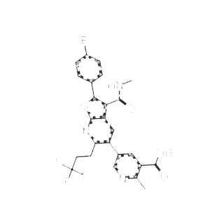 CNC(=O)c1c(-c2ccc(F)cc2)oc2nc(CCC(F)(F)F)c(-c3cnc(C)c(C(=O)O)c3)cc12